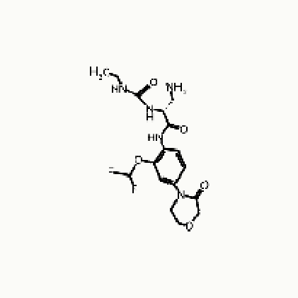 CCNC(=O)N[C@H](CN)C(=O)Nc1ccc(N2CCOCC2=O)cc1OC(F)F